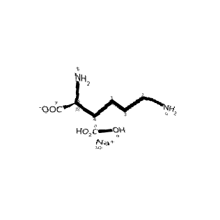 NCCCC[C@H](N)C(=O)[O-].O=C(O)O.[Na+]